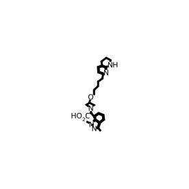 Cc1nn(C)c2c(C(C(=O)O)N3CC(OCCCCCc4ccc5c(n4)NCCC5)C3)cccc12